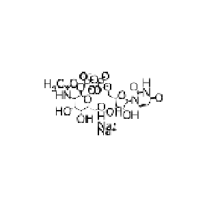 CC(=O)N[C@H]1[C@@H](OP(=O)([O-])OP(=O)([O-])OC[C@H]2O[C@@H](n3ccc(=O)[nH]c3=O)[C@H](O)[C@@H]2O)O[C@H](CO)[C@H](O)[C@@H]1O.[Na+].[Na+]